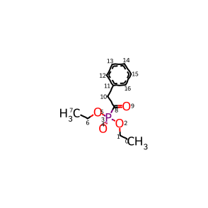 CCOP(=O)(OCC)C(=O)Cc1ccccc1